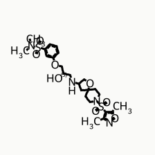 Cc1noc(C)c1S(=O)(=O)N1CCC2(CC1)CC(NC[C@H](O)COc1cccc(S(=O)(=O)N(C)C)c1)CO2